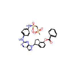 CS(=O)(=O)CS(=O)(=O)Nc1ccc(Nc2ncc3cnn(C4CCc5c(OC(=O)c6ccccc6)cccc54)c3n2)cc1